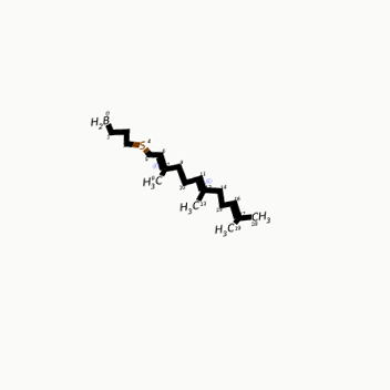 BCCCSC/C=C(\C)CC/C=C(\C)CCC=C(C)C